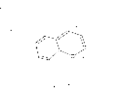 C1=COC2C=CC=CC2=C1